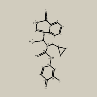 CC(c1c[nH]c(=O)c2ccccc12)N(CC1CC1)C(=O)NC1C=CC(=O)C(Cl)=C1